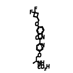 C[C@@H](COc1ccc(-c2nc3ccc(OCC4CC(F)(F)C4)cc3o2)nc1)NC(=O)O